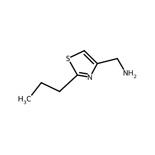 CCCc1nc(CN)cs1